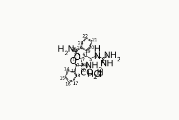 Cl.N=C(N)NCC(C[C@](N)(C(=O)O)C(=O)c1ccccc1)c1ccccc1C(N)=O